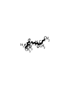 CCCCC(C)(C)C(=O)CCCCCN1C(=O)CC(C(C)(C)CC)C1=O